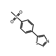 CS(=O)(=O)c1ccc(-c2cn[c]s2)cc1